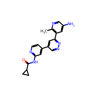 Cc1ncc(N)cc1-c1cc(-c2ccnc(NC(=O)C3CC3)c2)cnn1